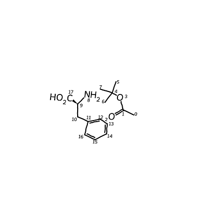 CC(=O)OC(C)(C)C.N[C@@H](Cc1ccccc1)C(=O)O